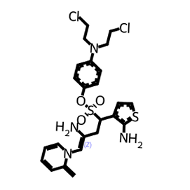 C=C1C=CC=CN1/C=C(\N)CC(c1ccsc1N)S(=O)(=O)Oc1ccc(N(CCCl)CCCl)cc1